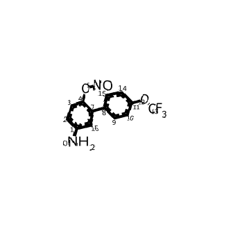 Nc1ccc(ON=O)c(-c2ccc(OC(F)(F)F)cc2)c1